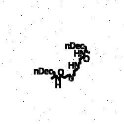 CCCCCCCCCCCC(C)NC(=O)CCNCCCN(C)CCC(=O)NC(C)CCCCCCCCCCC